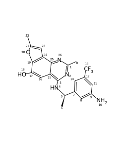 Cc1nc(N[C@H](C)c2cc(N)cc(C(F)(F)F)c2)c2cc(O)c3oc(C)cc3c2n1